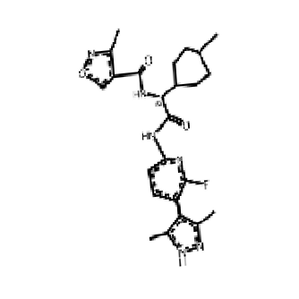 Cc1nocc1C(=O)N[C@H](C(=O)Nc1ccc(-c2c(C)n[nH]c2C)c(F)n1)C1CCC(C)CC1